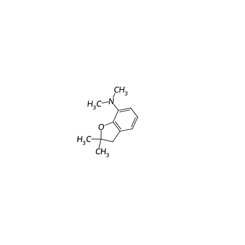 CN(C)c1cccc2c1OC(C)(C)C2